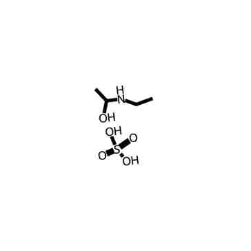 CCNC(C)O.O=S(=O)(O)O